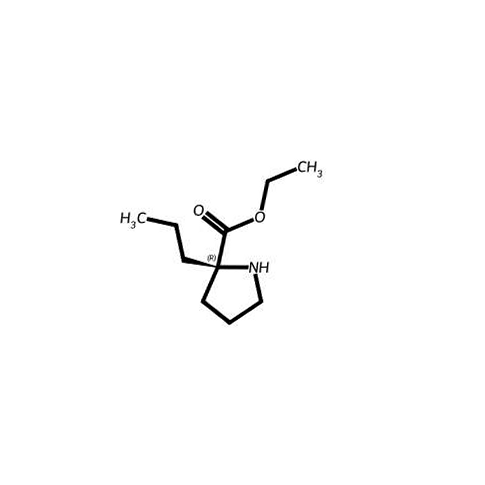 CCC[C@]1(C(=O)OCC)CCCN1